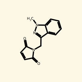 Cn1nc(CN2C(=O)C=CC2=O)c2ccccc21